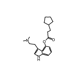 CN(C)CCc1c[nH]c2cccc(OC(=O)CCC3CCCC3)c12